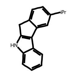 CC(C)c1ccc2c(c1)-c1c([nH]c3ccccc13)C2